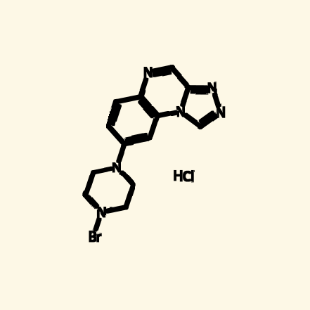 BrN1CCN(c2ccc3ncc4nncn4c3c2)CC1.Cl